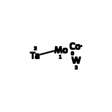 [Co].[Mo][Ta].[W]